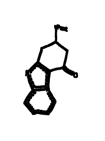 CCCCCC1CC(=O)c2c(nc3ccccn23)C1